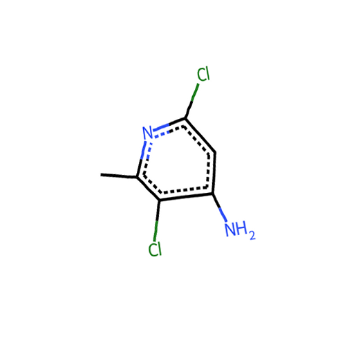 Cc1nc(Cl)cc(N)c1Cl